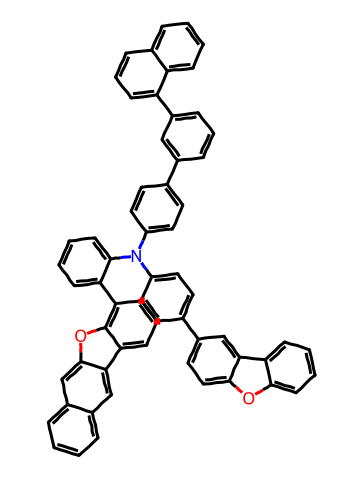 c1cc(-c2ccc(N(c3ccc(-c4ccc5oc6ccccc6c5c4)cc3)c3ccccc3-c3cccc4c3oc3cc5ccccc5cc34)cc2)cc(-c2cccc3ccccc23)c1